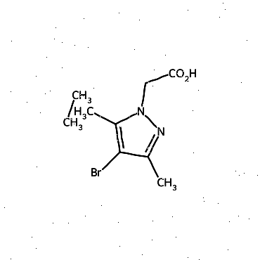 CC.Cc1nn(CC(=O)O)c(C)c1Br